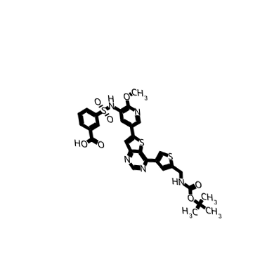 COc1ncc(-c2cc3ncnc(-c4csc(CNC(=O)OC(C)(C)C)c4)c3s2)cc1NS(=O)(=O)c1cccc(C(=O)O)c1